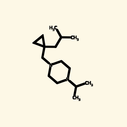 CC(C)CC1(CN2CCN(C(C)C)CC2)CC1